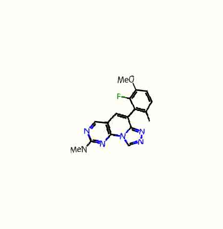 CNc1ncc2cc(-c3c(C)ccc(OC)c3F)c3nncn3c2n1